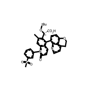 Cc1cc2c(ccc(=O)n2-c2cccc(S(C)(=O)=O)c2)c(-c2ccc3c4c(ccnc24)CCO3)c1[C@H](OC(C)(C)C)C(=O)O